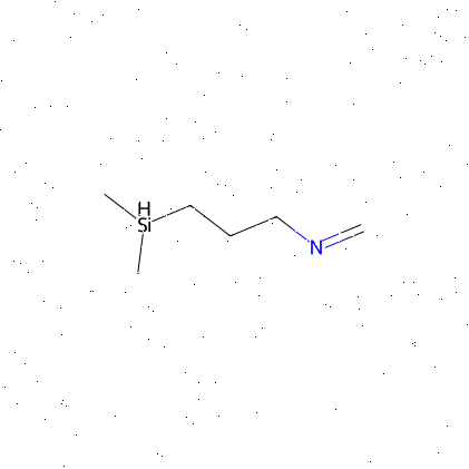 C=NCCC[SiH](C)C